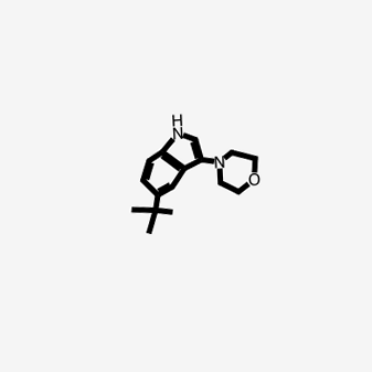 CC(C)(C)c1ccc2[nH]cc(N3CCOCC3)c2c1